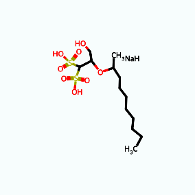 CCCCCCCCC(C)OC(CO)C(S(=O)(=O)O)S(=O)(=O)O.[NaH]